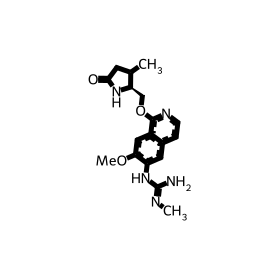 C/N=C(\N)Nc1cc2ccnc(OC[C@H]3NC(=O)CC3C)c2cc1OC